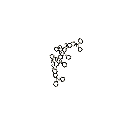 c1ccc(N(c2ccccc2)c2ccc3cc4sc5c6c7c(cc5c4cc3c2)N(c2ccccc2)c2cc3c(cc2B7c2ccccc2O6)B2c4ccccc4Oc4c2c(cc2c4sc4cc5ccc(N(c6ccccc6)c6ccccc6)cc5cc42)N3c2ccccc2)cc1